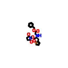 O=C(CN[C@@H](Cc1cccs1)C(=O)ON1C(=O)CCC1=O)OCc1ccccc1